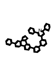 C1=Cc2c(c3cc(-c4cccc(-c5cccc(-c6cc(-c7ccccc7)nc(-c7ccccc7)c6)c5)c4)ccc3c3ccc(-c4ccccc4)cc23)C1